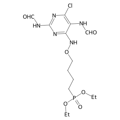 CCOP(=O)(CCCCONc1nc(NC=O)nc(Cl)c1NC=O)OCC